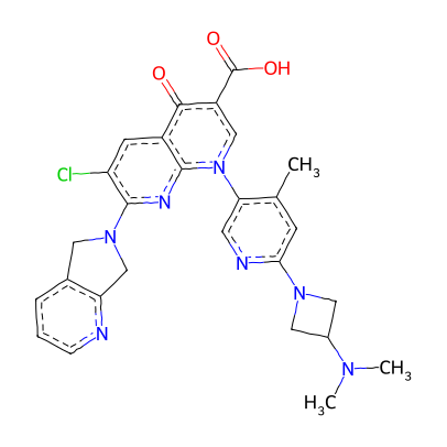 Cc1cc(N2CC(N(C)C)C2)ncc1-n1cc(C(=O)O)c(=O)c2cc(Cl)c(N3Cc4cccnc4C3)nc21